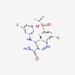 CC(C)S(=O)(=O)c1cc(Cl)c2ncc(C(N)=O)c(Nc3cncc(F)c3)c2c1